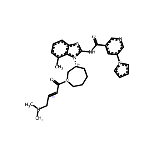 Cc1cccc2nc(NC(=O)c3cncc(-n4cccc4)c3)n([C@@H]3CCCCN(C(=O)/C=C/CN(C)C)C3)c12